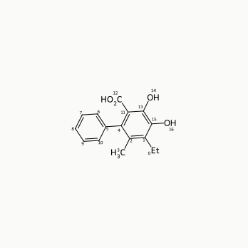 CCc1c(C)c(-c2ccccc2)c(C(=O)O)c(O)c1O